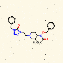 CC(=O)N(OCc1ccccc1)C1CCN(CCn2nnn(Cc3ccccc3)c2=O)CC1C